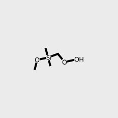 CO[Si](C)(C)COO